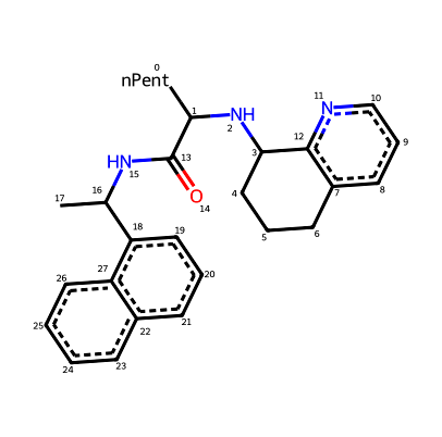 CCCCCC(NC1CCCc2cccnc21)C(=O)NC(C)c1cccc2ccccc12